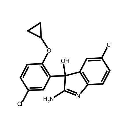 NC1=Nc2ccc(Cl)cc2C1(O)c1cc(Cl)ccc1OC1CC1